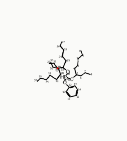 CCCCCC(CCC)O[PH](Oc1ccccc1)(OC(CCC)CCCCC)C(CCC)CCCCC